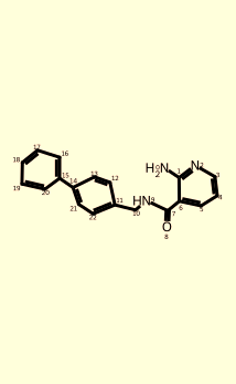 Nc1ncccc1C(=O)NCc1ccc(-c2ccccc2)cc1